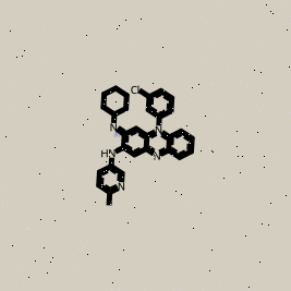 Cc1ccc(Nc2cc3nc4ccccc4n(-c4cccc(Cl)c4)c-3c/c2=N\C2CCCCC2)cn1